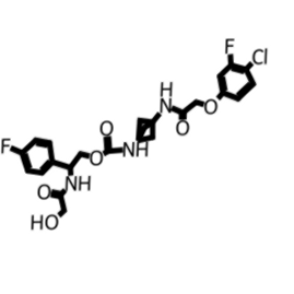 O=C(CO)NC(COC(=O)NC12CC(NC(=O)COc3ccc(Cl)c(F)c3)(C1)C2)c1ccc(F)cc1